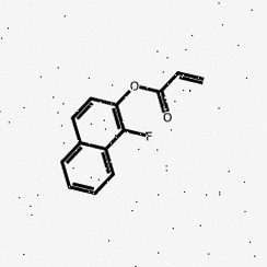 C=CC(=O)Oc1ccc2ccccc2c1F